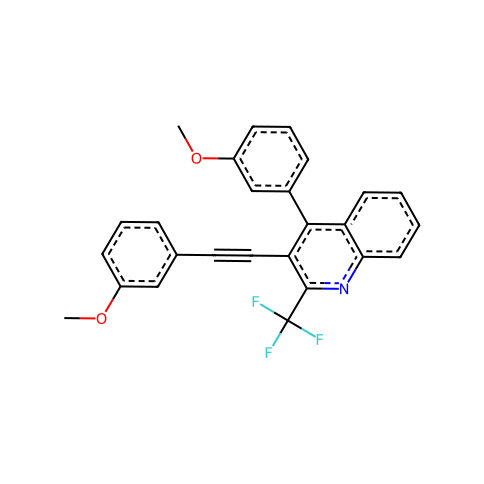 COc1cccc(C#Cc2c(C(F)(F)F)nc3ccccc3c2-c2cccc(OC)c2)c1